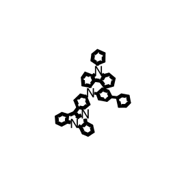 c1ccc(-c2ccc(N(c3ccc4c5c6ccccc6n6c7ccccc7n(c4c3)c56)c3cccc4c3c3ccccc3n4-c3ccccc3)cc2)cc1